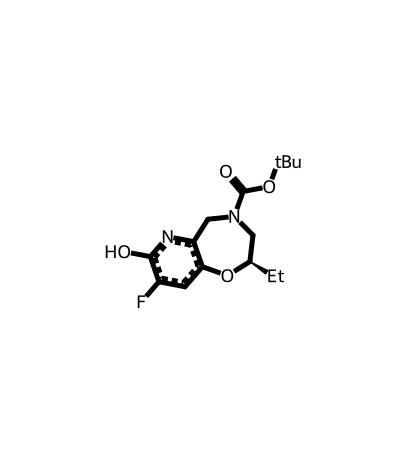 CC[C@@H]1CN(C(=O)OC(C)(C)C)Cc2nc(O)c(F)cc2O1